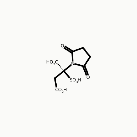 O=C(O)C[C@@](C(=O)O)(N1C(=O)CCC1=O)S(=O)(=O)O